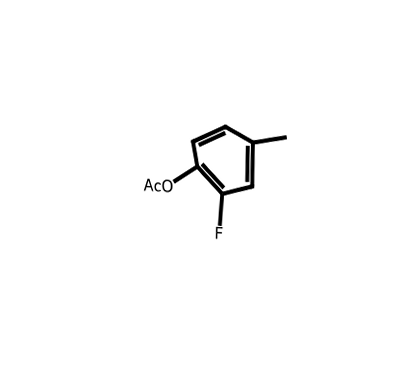 CC(=O)Oc1ccc(C)cc1F